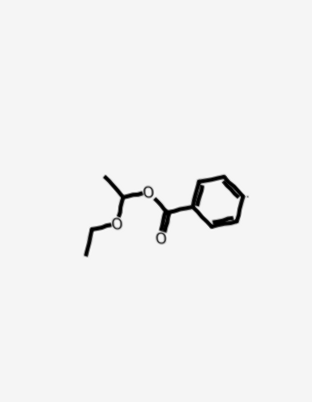 CCOC(C)OC(=O)c1cc[c]cc1